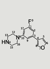 Fc1cc(-c2ccoc2)cc(N2CCNCC2)c1